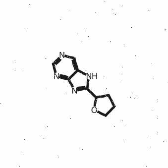 c1ncc2[nH]c(C3CCCO3)nc2n1